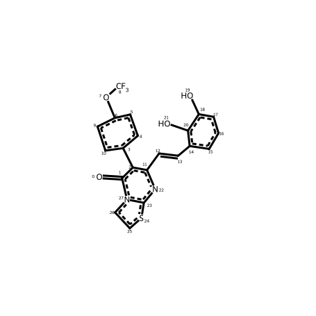 O=c1c(-c2ccc(OC(F)(F)F)cc2)c(C=Cc2cccc(O)c2O)nc2sccn12